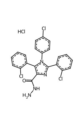 Cl.NNC(=O)c1nc(-c2ccccc2Cl)n(-c2ccc(Cl)cc2)c1-c1ccccc1Cl